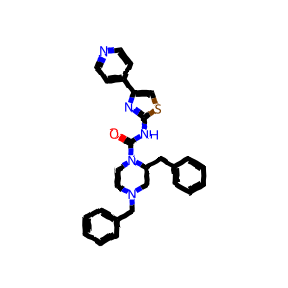 O=C(Nc1nc(-c2ccncc2)cs1)N1CCN(Cc2ccccc2)CC1Cc1ccccc1